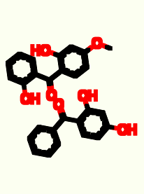 COc1ccc(C(=O)c2ccccc2O)c(O)c1.O=C(c1ccccc1)c1ccc(O)cc1O